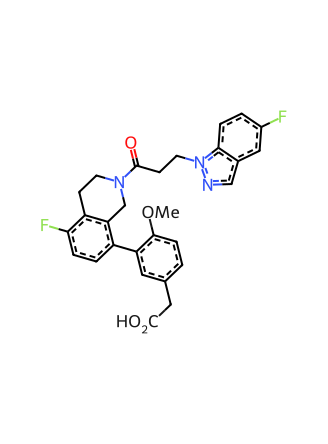 COc1ccc(CC(=O)O)cc1-c1ccc(F)c2c1CN(C(=O)CCn1ncc3cc(F)ccc31)CC2